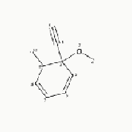 C#CC1(OC)C=CC=CC1[CH2]